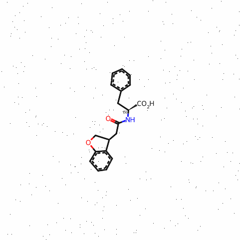 O=C(CC1COc2ccccc21)N[C@@H](Cc1ccccc1)C(=O)O